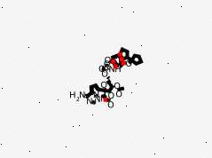 CC(=O)O[C@H]1[C@@H](OC(C)=O)[C@](C#N)(c2ccc3c(N)ncnn23)O[C@@H]1CO[P@@](=O)(N[C@H](C=O)CC(=O)OC1(C2CCCC2)CCCC1)Oc1ccccc1